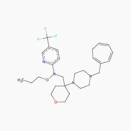 CCCON(CC1(N2CCN(CC3=CCC=CC=C3)CC2)CCOCC1)c1ccc(C(F)(F)F)cn1